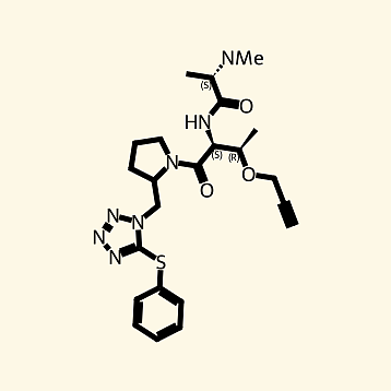 C#CCO[C@H](C)[C@H](NC(=O)[C@H](C)NC)C(=O)N1CCCC1Cn1nnnc1Sc1ccccc1